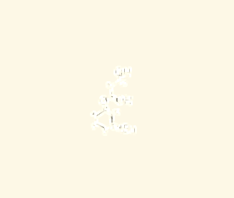 CC(C)(C)c1cccc(OC(O)CCO)c1